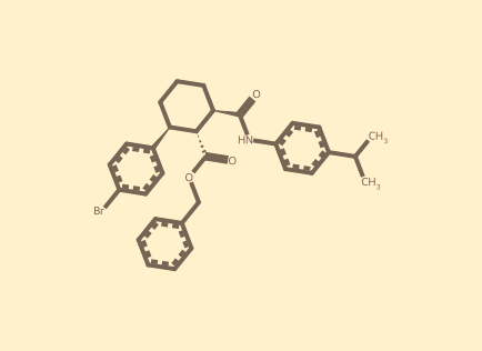 CC(C)c1ccc(NC(=O)[C@@H]2CCC[C@H](c3ccc(Br)cc3)[C@H]2C(=O)OCc2ccccc2)cc1